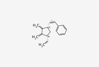 C=C[C@H]1C[C@@H](/C=C\c2ccccc2)C(=C)C1=C